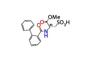 COC(=O)[C@H](CS(=O)(=O)O)NC(=O)c1ccccc1-c1ccccc1